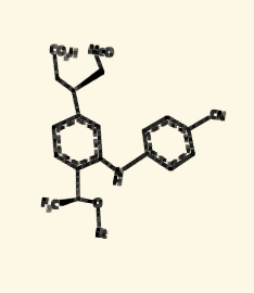 CCO[C@H](c1ccc([C@H](COC)CC(=O)O)cc1Nc1ccc(C#N)cc1)C(F)(F)F